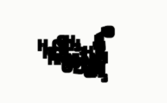 Cc1ccc(C(=O)NC(=N)/C=C(\O)C(C)(C)C)cc1Nc1ncnc2cnc(N3CCN(CC4CCOC4)CC3)nc12